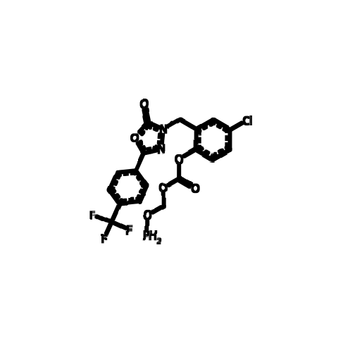 O=C(OCOP)Oc1ccc(Cl)cc1Cn1nc(-c2ccc(C(F)(F)F)cc2)oc1=O